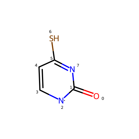 O=C1[N]C=CC(S)=N1